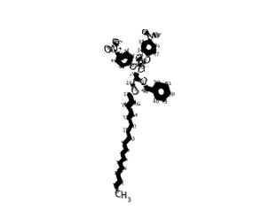 CCCCCCCCCCCCCCCCCCOC[C@H](COP(=O)(Oc1ccc([N+](=O)[O-])cc1)Oc1ccc([N+](=O)[O-])cc1)OCc1ccccc1